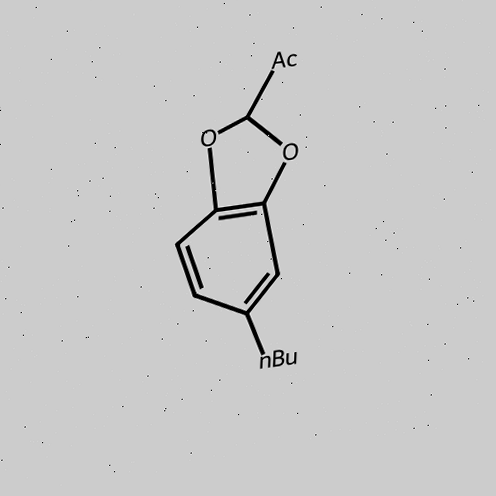 CCCCc1ccc2c(c1)OC(C(C)=O)O2